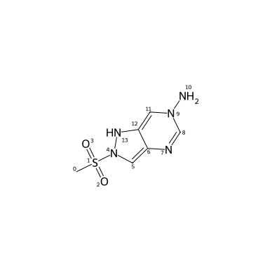 CS(=O)(=O)N1C=C2N=CN(N)C=C2N1